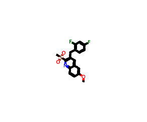 COc1ccc2nc(S(C)(=O)=O)c(Cc3ccc(F)cc3F)cc2c1